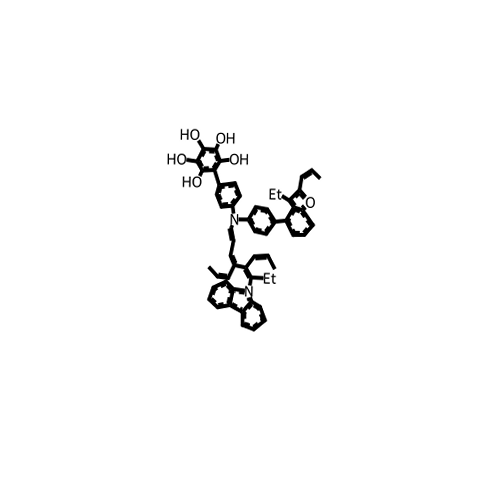 C\C=C/C(=C/C=C/N(c1ccc(-c2c(O)c(O)c(O)c(O)c2O)cc1)c1ccc(-c2cccc3oc(/C=C\C)c(CC)c23)cc1)C(/C=C\C)=C(/CC)n1c2ccccc2c2ccccc21